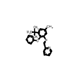 Cc1cc(/N=C/c2ccccn2)c(Oc2ccccc2)c(C(C)(C)C)c1